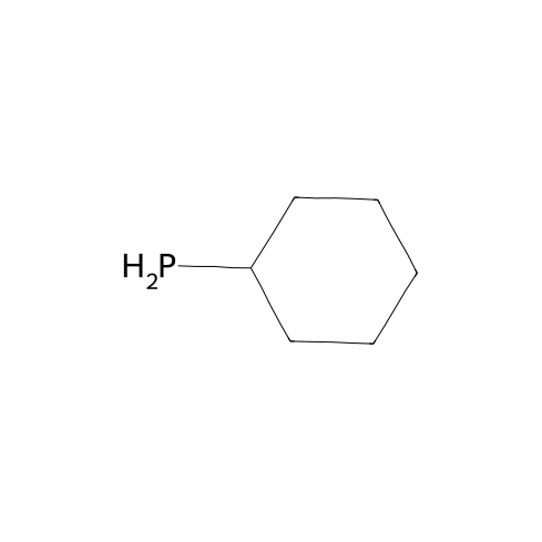 PC1CCCCC1